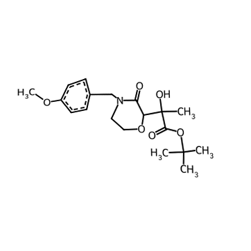 COc1ccc(CN2CCOC(C(C)(O)C(=O)OC(C)(C)C)C2=O)cc1